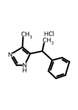 Cc1nc[nH]c1C(C)c1ccccc1.Cl